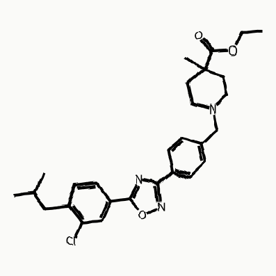 CCOC(=O)C1(C)CCN(Cc2ccc(-c3noc(-c4ccc(CC(C)C)c(Cl)c4)n3)cc2)CC1